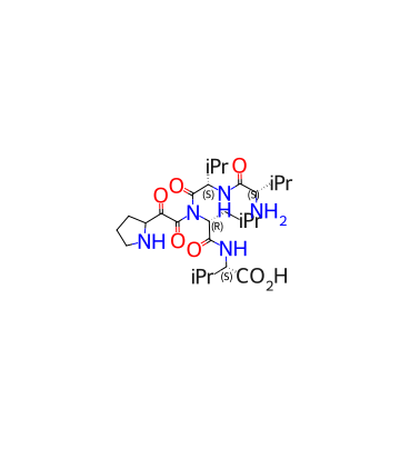 CC(C)C[C@H](C(=O)N[C@H](C(=O)O)C(C)C)N(C(=O)C(=O)C1CCCN1)C(=O)[C@@H](NC(=O)[C@@H](N)C(C)C)C(C)C